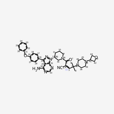 CC(C)(/C=C(/C#N)C(=O)N1CCC[C@@H](n2nc(-c3ccc(Oc4ccccc4)cc3)c3c(N)ncnc32)C1)N1CCN(C2COC2)CC1